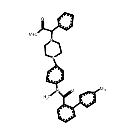 COC(=O)C(c1ccccc1)N1CCN(c2ccc(N(C)C(=O)c3ccccc3-c3ccc(C(F)(F)F)cc3)cc2)CC1